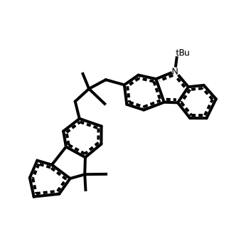 CC(C)(Cc1ccc2c(c1)-c1ccccc1C2(C)C)Cc1ccc2c3ccccc3n(C(C)(C)C)c2c1